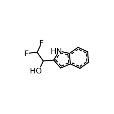 OC(c1cc2ccccc2[nH]1)C(F)F